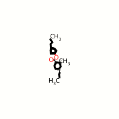 CCCCc1ccc(OC(=O)[C@@H]2CC[C@H](CCCC)C[C@H]2C)cc1